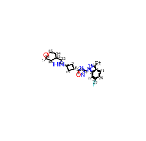 CCc1nn(-c2noc([C@H]3C[C@@H](NCC4CCOCC4)C3)n2)c2cc(F)ccc12